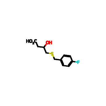 O=C(O)CC(O)CSCc1ccc(F)cc1